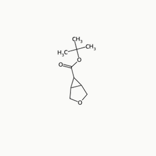 CC(C)(C)OC(=O)C1C2COCC21